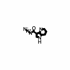 [N-]=[N+]=NC(=O)c1c[nH]c2cccnc12